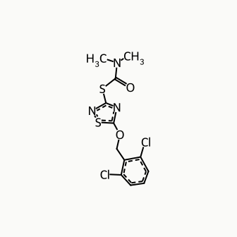 CN(C)C(=O)Sc1nsc(OCc2c(Cl)cccc2Cl)n1